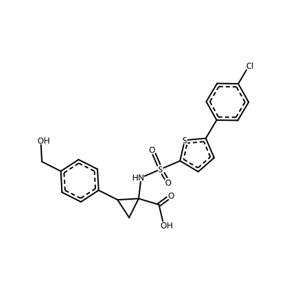 O=C(O)C1(NS(=O)(=O)c2ccc(-c3ccc(Cl)cc3)s2)CC1c1ccc(CO)cc1